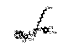 CCCCCCCCCCCCCCCCCCOC[C@H](COP(=O)(O)OC[C@H]1O[C@@](C#N)(c2ccc3c(N)ncnn23)[C@H](O)[C@@H]1O)OCc1ccc(OC)c(C#N)c1